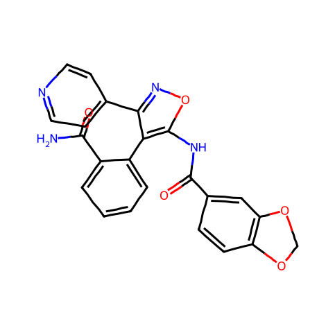 NC(=O)c1ccccc1-c1c(-c2ccncc2)noc1NC(=O)c1ccc2c(c1)OCO2